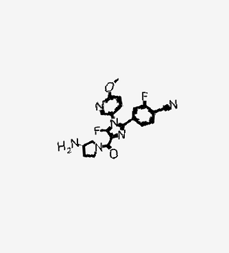 COc1ccc(-n2c(-c3ccc(C#N)c(F)c3)nc(C(=O)N3CC[C@H](N)C3)c2F)cn1